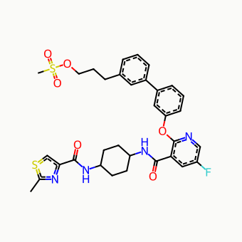 Cc1nc(C(=O)NC2CCC(NC(=O)c3cc(F)cnc3Oc3cccc(-c4cccc(CCCOS(C)(=O)=O)c4)c3)CC2)cs1